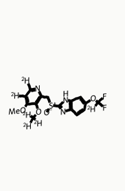 [2H]c1nc(C[S+]([O-])c2nc3ccc(OC([2H])(F)F)cc3[nH]2)c(OC([2H])([2H])[2H])c(OC)c1[2H]